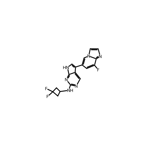 Fc1cc(-c2c[nH]c3nc(NC4CC(F)(F)C4)ncc23)cn2ccnc12